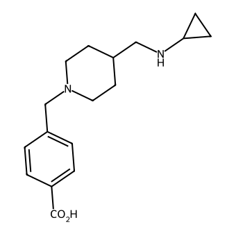 O=C(O)c1ccc(CN2CCC(CNC3CC3)CC2)cc1